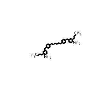 CCCCc1cc(Cc2ccc(CCCCCCc3ccc(Cc4ccc(N)c(CCCC)c4)cc3)cc2)ccc1N